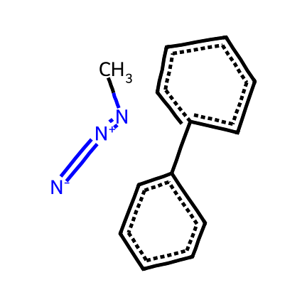 CN=[N+]=[N-].c1ccc(-c2ccccc2)cc1